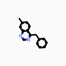 Cc1ccc2c(Cc3ccccc3)ncnc2c1